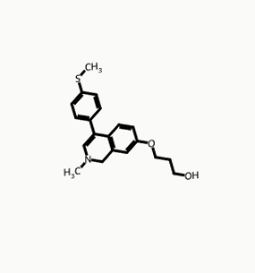 CSc1ccc(C2=CN(C)Cc3cc(OCCCO)ccc32)cc1